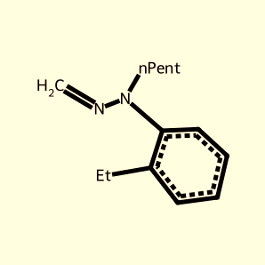 C=NN(CCCCC)c1ccccc1CC